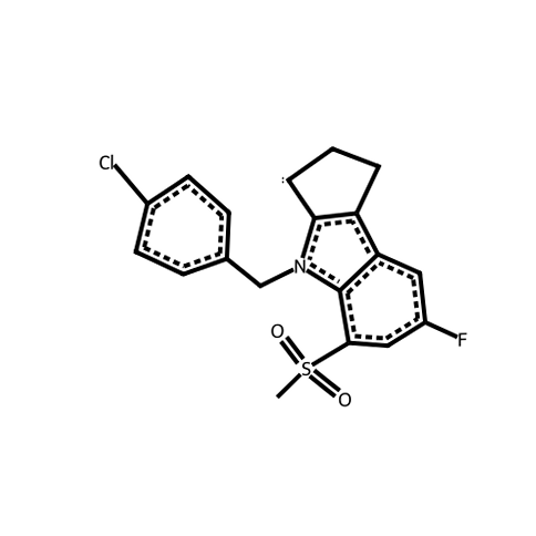 CS(=O)(=O)c1cc(F)cc2c3c(n(Cc4ccc(Cl)cc4)c12)[C]CC3